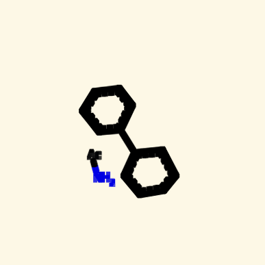 CC(N)=O.c1ccc(-c2ccccc2)cc1